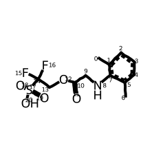 Cc1cccc(C)c1NCC(=O)OCC(F)(F)S(=O)(=O)O